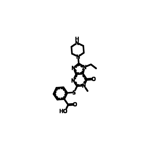 CCn1c(N2CCNCC2)nc2nc(Sc3ccccc3C(=O)O)n(C)c(=O)c21